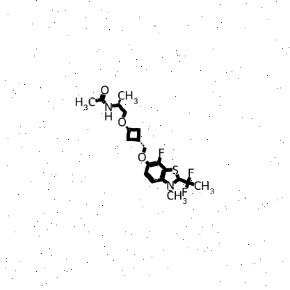 CC(=O)N[C@@H](C)CO[C@H]1C[C@H](COc2ccc3c(c2F)SC(C(C)(F)F)N3C)C1